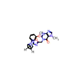 Cn1cnc2ncn(Cc3nc([C@@]45C6[C@H]4[C@H]5CN6c4cccc(OC(F)(F)F)c4)no3)c(=O)c21